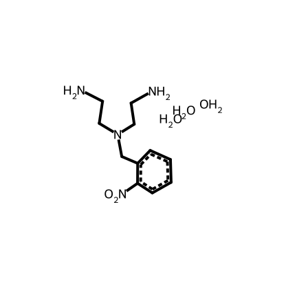 NCCN(CCN)Cc1ccccc1[N+](=O)[O-].O.O.O